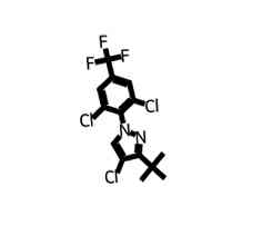 CC(C)(C)c1nn(-c2c(Cl)cc(C(F)(F)F)cc2Cl)cc1Cl